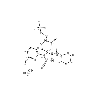 C[C@H]1C[C@]2(CCN1CC[Si](C)(C)C)C(NC1CCCCC1)=NC(=O)N2c1cccc(F)c1.Cl.Cl